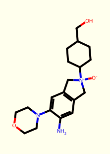 Nc1cc2c(cc1N1CCOCC1)C[N+]([O-])(C1CCC(CO)CC1)C2